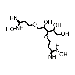 N=C(CCOCC(O)C(OCCC(=N)NO)C(O)CO)NO